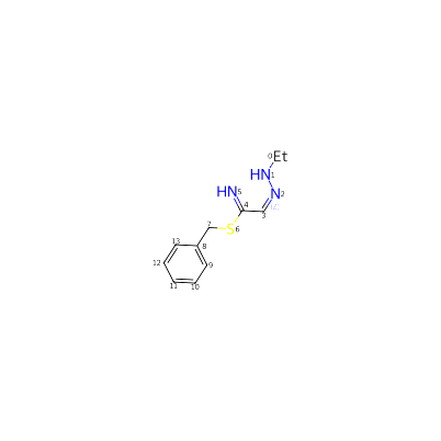 CCN/N=C\C(=N)SCc1ccccc1